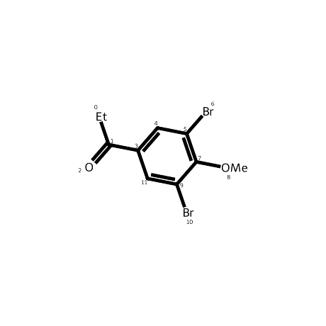 CCC(=O)c1cc(Br)c(OC)c(Br)c1